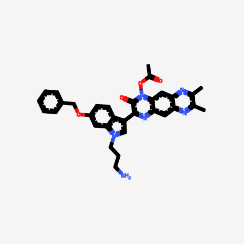 CC(=O)On1c(=O)c(-c2cn(CCCN)c3cc(OCc4ccccc4)ccc23)nc2cc3nc(C)c(C)nc3cc21